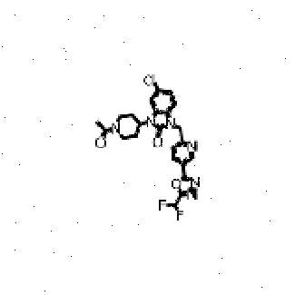 CC(=O)N1CCC(n2c(=O)n(Cc3ccc(-c4nnc(C(F)F)o4)cn3)c3ccc(Cl)cc32)CC1